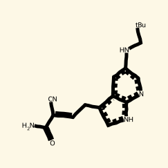 CC(C)(C)CNc1cnc2[nH]cc(C/C=C(\C#N)C(N)=O)c2c1